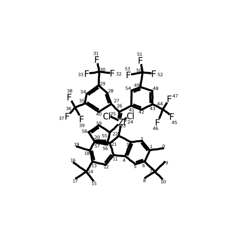 Cc1cc2c(cc1C(C)(C)C)-c1cc(C(C)(C)C)c(C)cc1[CH]2[Zr]([Cl])([Cl])(=[C](c1cc(C(F)(F)F)cc(C(F)(F)F)c1)c1cc(C(F)(F)F)cc(C(F)(F)F)c1)[CH]1C=CC=C1